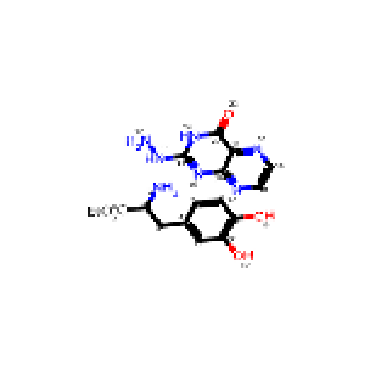 CCOC(=O)C(N)Cc1ccc(O)c(O)c1.NNc1nc2nccnc2c(=O)[nH]1